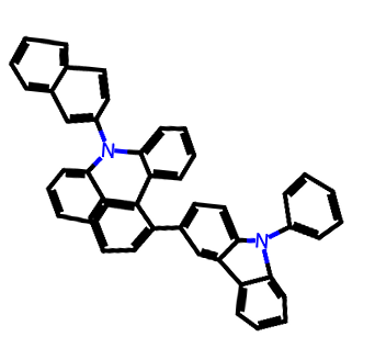 c1ccc(N(c2ccc3ccccc3c2)c2ccccc2-c2ccccc2-c2ccc3c(c2)c2ccccc2n3-c2ccccc2)cc1